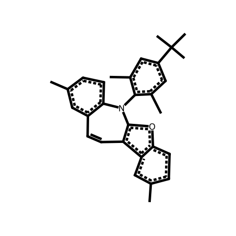 Cc1ccc2c(c1)C=Cc1c(oc3ccc(C)cc13)N2c1c(C)cc(C(C)(C)C)cc1C